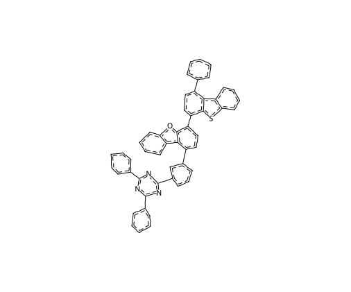 c1ccc(-c2nc(-c3ccccc3)nc(-c3cccc(-c4ccc(-c5ccc(-c6ccccc6)c6c5sc5ccccc56)c5oc6ccccc6c45)c3)n2)cc1